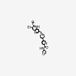 CCC1=Cc2ncc(CN3CC=C(c4ccc(C(=O)N[C@@H]5CCOC5)nc4)CC3)cc2NC1=C=O